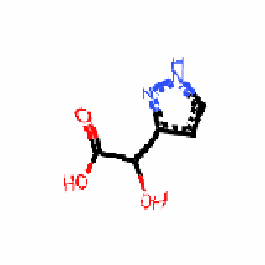 O=C(O)C(O)c1cc[nH]n1